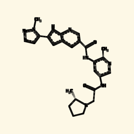 Cc1ncc(NC(=O)CN2CCC[C@@H]2C)cc1NC(=O)c1cnc2[nH]c(-c3ccnn3C)cc2c1